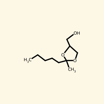 CCCCCC1(C)OCC(CO)O1